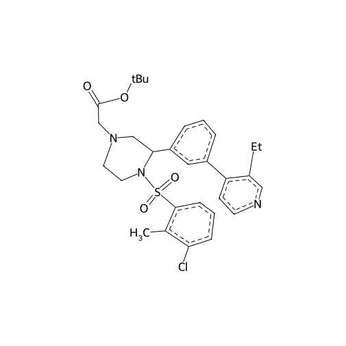 CCc1cnccc1-c1cccc(C2CN(CC(=O)OC(C)(C)C)CCN2S(=O)(=O)c2cccc(Cl)c2C)c1